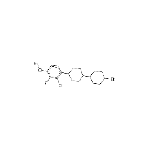 CCOc1ccc(C2CCC(C3CCC(CC)CC3)CC2)c(Cl)c1F